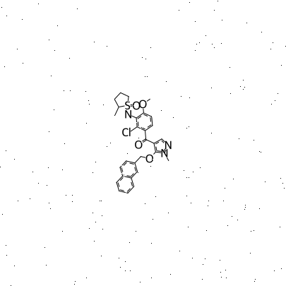 COc1ccc(C(=O)c2cnn(C)c2OCc2ccc3ccccc3c2)c(Cl)c1N=S1(=O)CCCC1C